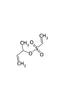 C=CC(C)OS(=O)(=O)C=C